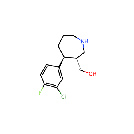 OC[C@H]1CNCCC[C@@H]1c1ccc(F)c(Cl)c1